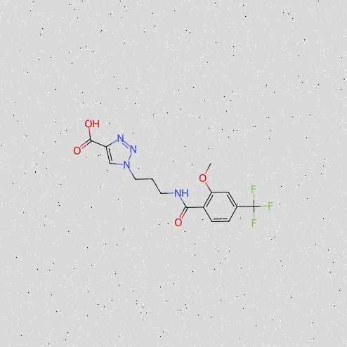 COc1cc(C(F)(F)F)ccc1C(=O)NCCCn1cc(C(=O)O)nn1